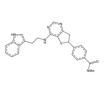 CNC(=O)c1ccc(C2Cc3ncnc(NCCc4c[nH]c5ccccc45)c3S2)cc1